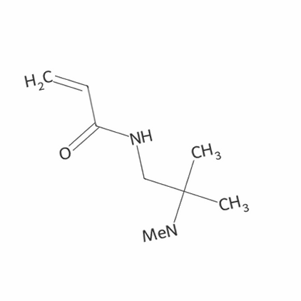 C=CC(=O)NCC(C)(C)NC